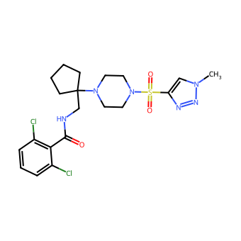 Cn1cc(S(=O)(=O)N2CCN(C3(CNC(=O)c4c(Cl)cccc4Cl)CCCC3)CC2)nn1